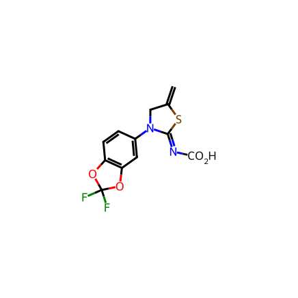 C=C1CN(c2ccc3c(c2)OC(F)(F)O3)C(=NC(=O)O)S1